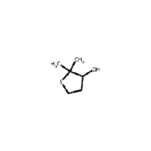 CC1(C)SCCC1O